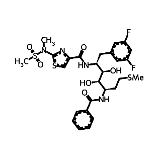 CSCC[C@@H](NC(=O)c1ccccc1)[C@@H](O)[C@H](O)[C@H](Cc1cc(F)cc(F)c1)NC(=O)c1csc(N(C)S(C)(=O)=O)n1